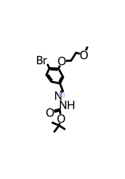 COCCOc1cc(/C=N/NC(=O)OC(C)(C)C)ccc1Br